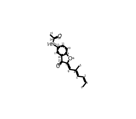 C\C=C/C=C(C)/C=C1\Oc2ccc(NC(C)=O)cc2C1=O